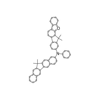 CC1(C)c2cc3ccccc3cc2-c2cc3ccc(N(c4ccccc4)c4ccc5c(c4)C(C)(C)c4c-5ccc5c4oc4ccccc45)cc3cc21